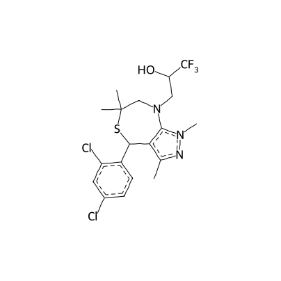 Cc1nn(C)c2c1C(c1ccc(Cl)cc1Cl)SC(C)(C)CN2CC(O)C(F)(F)F